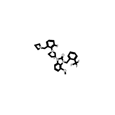 COc1cccc2c1n(Cc1ccccc1C(F)(F)F)c(=O)n2[C@@H]1CCN(c2c(F)cccc2CN2CCC2)C1